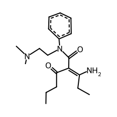 CCCC(=O)C(C(=O)N(CCN(C)C)c1ccccc1)=C(N)CC